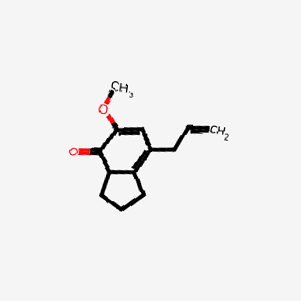 C=CCC1=C2CCCC2C(=O)C(OC)=C1